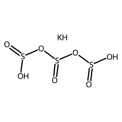 O=S(O)OS(=O)OS(=O)O.[KH]